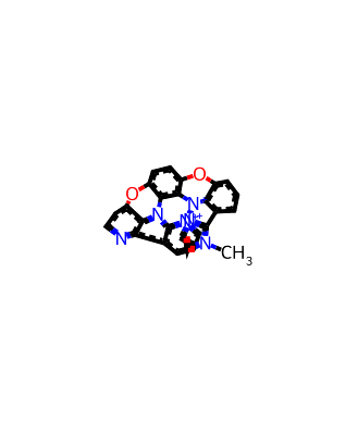 Cn1c2[n+](c3ccccc31)[N+]13c4c(cccc4-2)Oc2ccc4c(c21)-n1c2c(ccnc2c2ccc[n+]3c21)O4